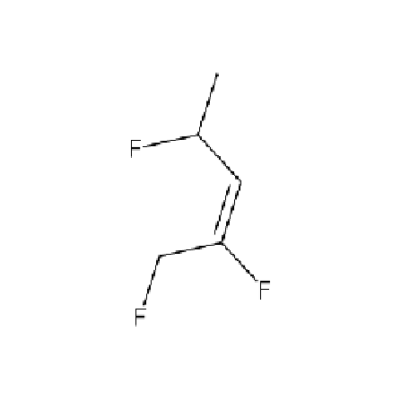 CC(F)/C=C(/F)CF